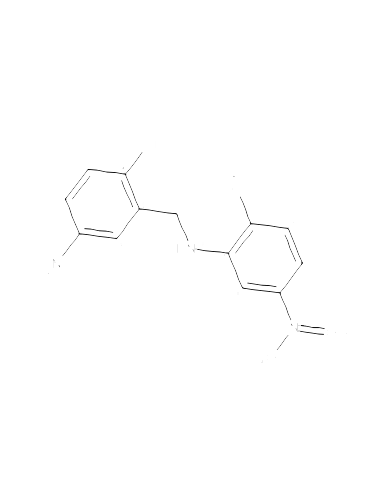 Nc1ccc(O)c(CNc2cc([N+](=O)[O-])ccc2O)c1